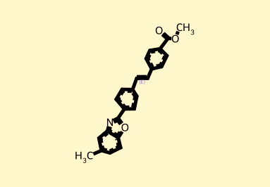 COC(=O)c1ccc(/C=C/c2ccc(-c3nc4cc(C)ccc4o3)cc2)cc1